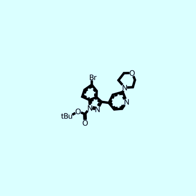 CC(C)(C)OC(=O)n1nc(-c2ccnc(N3CCOCC3)c2)c2cc(Br)ccc21